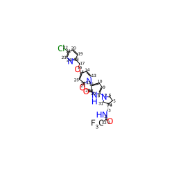 O=C(NC[C@H]1CCN(c2ccc(-n3ccc(OCc4ccc(Cl)cn4)cc3=O)c(=O)[nH]2)C1)C(F)(F)F